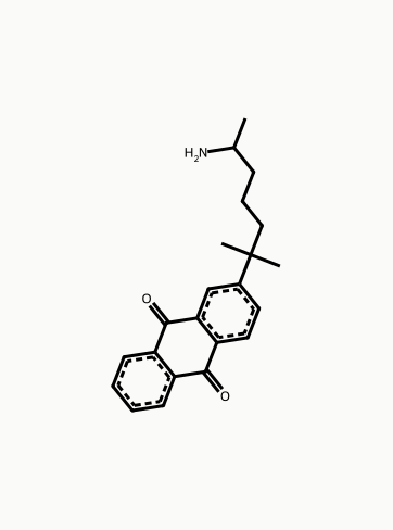 CC(N)CCCC(C)(C)c1ccc2c(c1)C(=O)c1ccccc1C2=O